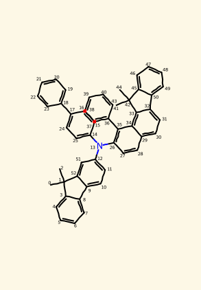 CC1(C)c2ccccc2-c2ccc(N(c3ccc(-c4ccccc4)cc3)c3ccc4ccc5c(c4c3-c3ccccc3)C(C)(C)c3ccccc3-5)cc21